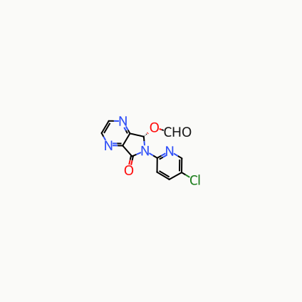 O=CO[C@H]1c2nccnc2C(=O)N1c1ccc(Cl)cn1